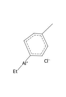 C[CH2][Al+][c]1ccc(C)cc1.[Cl-]